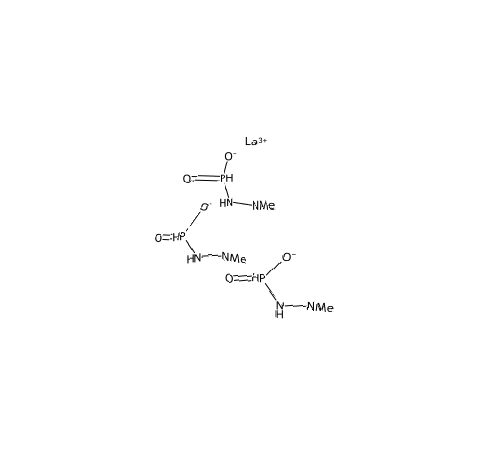 CNN[PH](=O)[O-].CNN[PH](=O)[O-].CNN[PH](=O)[O-].[La+3]